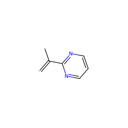 [CH]=C(C)c1ncccn1